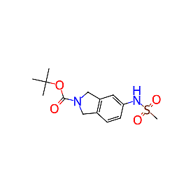 CC(C)(C)OC(=O)N1Cc2ccc(NS(C)(=O)=O)cc2C1